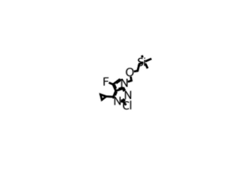 C[Si](C)(C)CCOCn1cc(F)c2c(C3CC3)nc(Cl)nc21